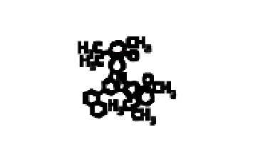 CC(C)C12CCC(C)(CC1)C(=O)c1cc3c(cc12)c1cc(-c2cccc4ccccc24)cc2c4cc5c(cc4n3c12)C(=O)C1(C)CCC5(C(C)C)CC1